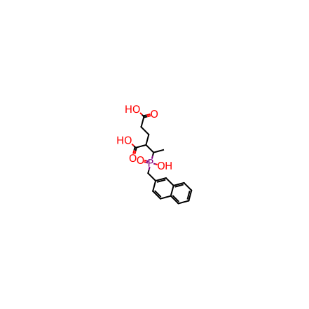 CC(C(CCC(=O)O)C(=O)O)P(=O)(O)Cc1ccc2ccccc2c1